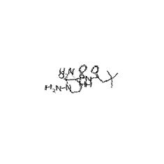 CC(C)(C)CC(=O)N[PH](=O)[C@@]1(N)CCCN(N)C1=O